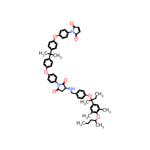 CCCC(C)Oc1c(C)cc(C(C)(CC)Oc2ccc(CNC3CC(=O)N(c4ccc(Oc5ccc(C(C)(C)c6ccc(Oc7ccc(N8C(=O)C=CC8=O)cc7)cc6)cc5)cc4)C3=O)cc2)cc1C